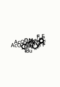 CCC(C)/C=C/[C@@H](OC(C)=O)[C@H](OC(C)=O)[C@@H](OC(C)=O)[C@@H](OC)C(=O)N[C@H]1CCCCN(Cc2c(F)c(F)cc(F)c2F)C1=O